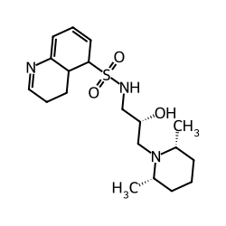 C[C@@H]1CCC[C@H](C)N1C[C@@H](O)CNS(=O)(=O)C1C=CC=C2N=CCCC21